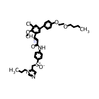 CCCCOCCOc1ccc(-c2cc(Cl)c(OC)c(/C=C/C(=O)Nc3ccc([S+]([O-])Cc4cncn4CCC)cc3)c2)cc1